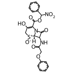 O=C(COc1ccccc1)NC1C(=O)N2C(C(=O)OC(c3ccccc3)[N+](=O)[O-])=C(O)C[S+]([O-])[C@@H]12